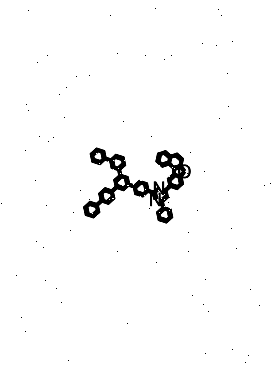 c1ccc(-c2ccc(-c3cc(-c4ccc(-c5nc(-c6ccccc6)cc(-c6ccc7oc8ccc9ccccc9c8c7c6)n5)cc4)cc(-c4cccc(-c5ccccc5)c4)c3)cc2)cc1